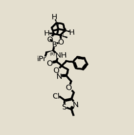 Cc1nc(COCC2=NOC(Cc3ccccc3)(C(=O)N[C@@H](CC(C)C)B3O[C@@H]4C[C@@H]5C[C@@H](C5(C)C)[C@]4(C)O3)C2)c(Cl)s1